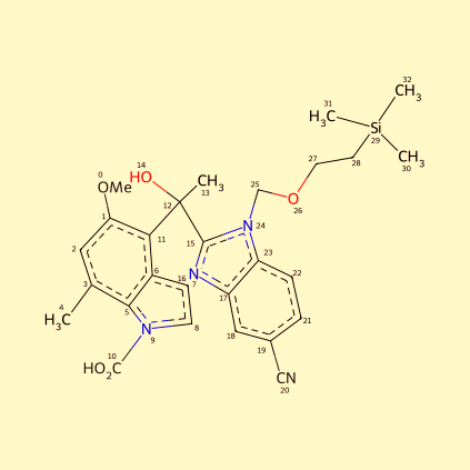 COc1cc(C)c2c(ccn2C(=O)O)c1C(C)(O)c1nc2cc(C#N)ccc2n1COCC[Si](C)(C)C